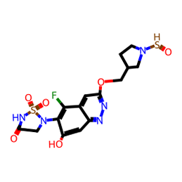 O=[SH]N1CCC(COc2cc3c(F)c(N4CC(=O)NS4(=O)=O)c(O)cc3nn2)C1